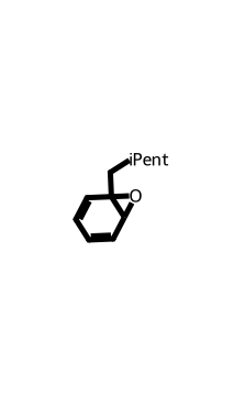 CCCC(C)CC12C=CC=CC1O2